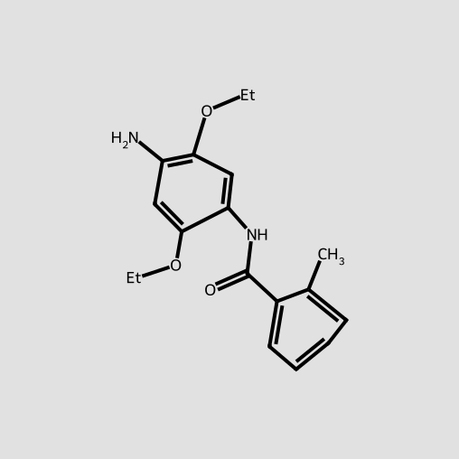 CCOc1cc(NC(=O)c2ccccc2C)c(OCC)cc1N